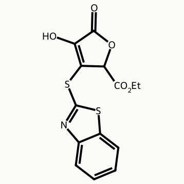 CCOC(=O)C1OC(=O)C(O)=C1Sc1nc2ccccc2s1